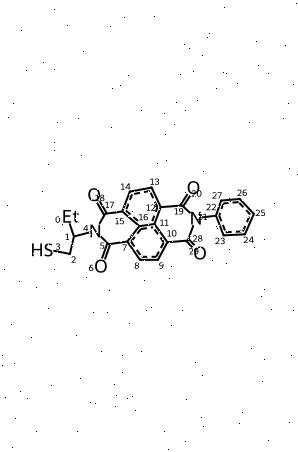 CCC(CS)N1C(=O)c2ccc3c4c(ccc(c24)C1=O)C(=O)N(c1ccccc1)C3=O